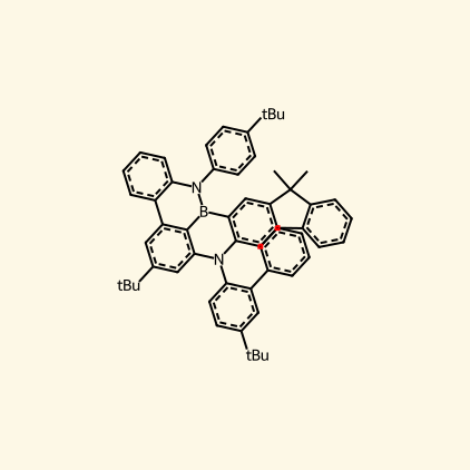 CC(C)(C)c1ccc(N2B3c4cc5c(cc4N(c4ccc(C(C)(C)C)cc4-c4ccccc4)c4cc(C(C)(C)C)cc(c43)-c3ccccc32)-c2ccccc2C5(C)C)cc1